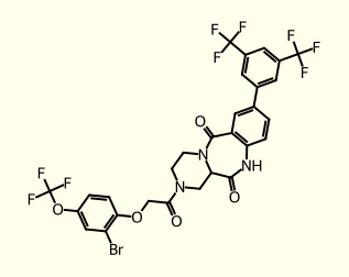 O=C1Nc2ccc(-c3cc(C(F)(F)F)cc(C(F)(F)F)c3)cc2C(=O)N2CCN(C(=O)COc3ccc(OC(F)(F)F)cc3Br)CC12